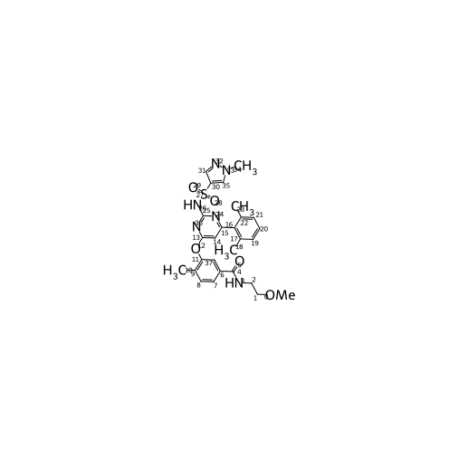 COCCNC(=O)c1ccc(C)c(Oc2cc(-c3c(C)cccc3C)nc(NS(=O)(=O)c3cnn(C)c3)n2)c1